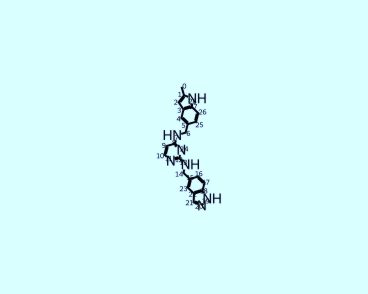 Cc1cc2cc(CNc3ccnc(NCc4ccc5[nH]ncc5c4)n3)ccc2[nH]1